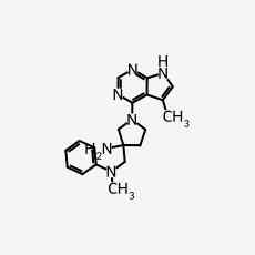 Cc1c[nH]c2ncnc(N3CCC(N)(CN(C)c4ccccc4)C3)c12